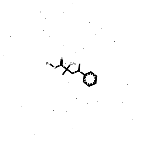 CC(=O)OC(C)(CC(C)c1ccccc1)C(=O)OC(C)C